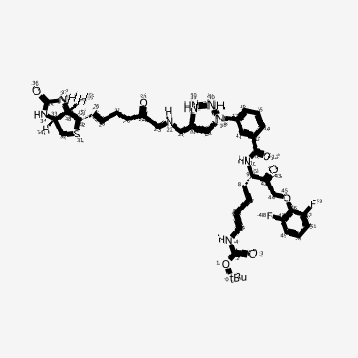 CC(C)(C)OC(=O)NCCCC[C@H](NC(=O)c1cccc(N2C=C(CNCC(=O)CCCC[C@@H]3SC[C@@H]4NC(=O)N[C@@H]43)NN2)c1)C(=O)COc1c(F)cccc1F